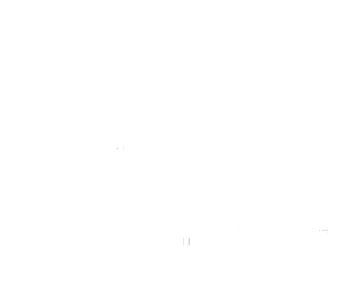 OCCSCC(O)Cc1cccc(C2CCCC2)c1OCc1ccccc1